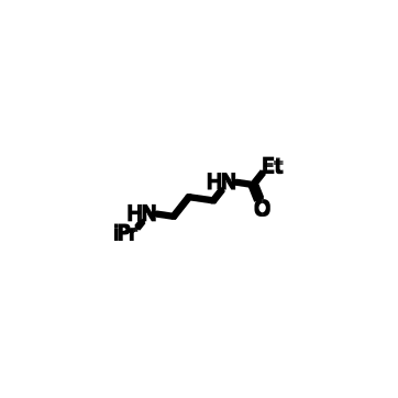 CCC(=O)NCCCNC(C)C